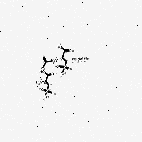 C=C(C)O.N[C@@H](CS(=O)(=O)O)C(=O)O.N[C@@H](CS(=O)(=O)O)C(=O)O.[Na].[Na].[Na].[Na]